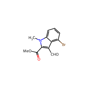 COC(=O)c1c(C=O)c2c(Br)cccc2n1C